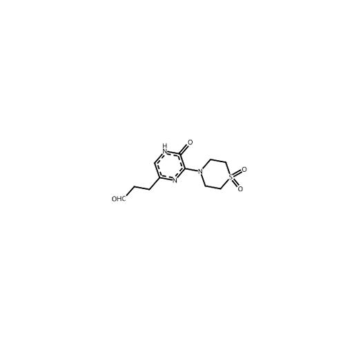 O=CCCc1c[nH]c(=O)c(N2CCS(=O)(=O)CC2)n1